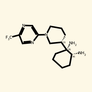 N[C@@H]1CCCC[C@@]1(N)[C@H]1CCCN(c2cnc(C(F)(F)F)cn2)C1